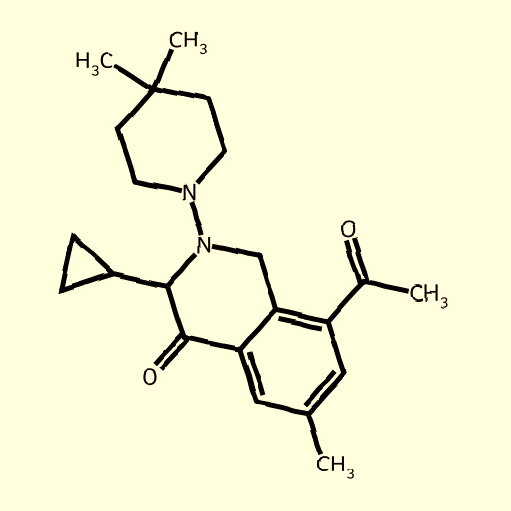 CC(=O)c1cc(C)cc2c1CN(N1CCC(C)(C)CC1)C(C1CC1)C2=O